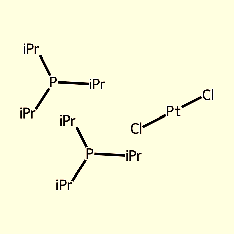 CC(C)P(C(C)C)C(C)C.CC(C)P(C(C)C)C(C)C.[Cl][Pt][Cl]